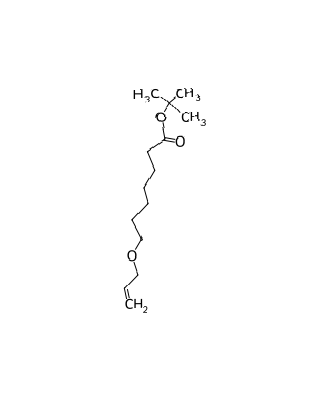 C=CCOCCCCCCC(=O)OC(C)(C)C